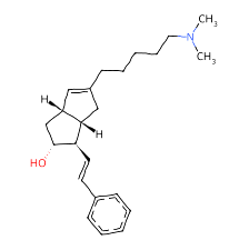 CN(C)CCCCCC1=C[C@H]2C[C@@H](O)[C@H](/C=C/c3ccccc3)[C@H]2C1